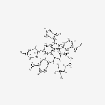 COc1ccc(CC(Cc2nc3cccc(OC)c3n2COCCS(C)(C)C)c2nc(N3CCN(C)CC3)nc3c(-c4nccs4)cnn23)cc1